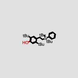 CC(C)(C)c1cc(CC[Si](c2ccccc2)(C(C)(C)C)C(C)(C)C)c(C(C)(C)C)cc1O